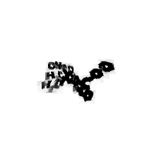 C=CC(C)c1cc2n(c(=O)c1COC)Cc1c-2nc2cc3c(cc2c1CCc1ccc(N2CCCCC2)cc1)CCC3